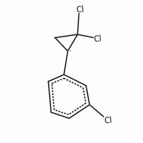 Clc1cccc([C]2CC2(Cl)Cl)c1